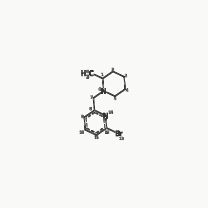 CC1CCCCN1Cc1cccc(Br)n1